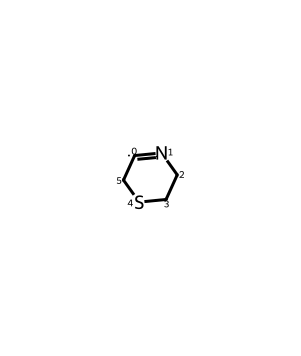 [C]1=NCCSC1